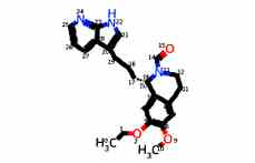 CCOc1cc2c(cc1OC)CCN(C=O)[C@H]2CCCc1c[nH]c2ncccc12